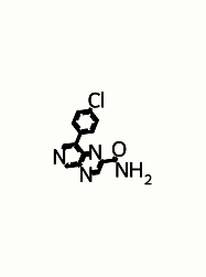 NC(=O)c1cnc2cncc(-c3ccc(Cl)cc3)c2n1